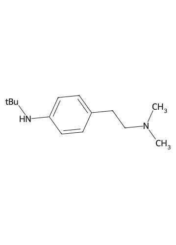 CN(C)CCc1ccc(NC(C)(C)C)cc1